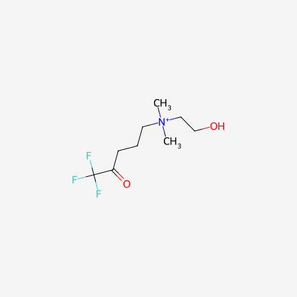 C[N+](C)(CCO)CCCC(=O)C(F)(F)F